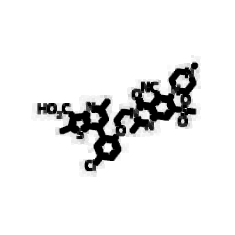 Cc1cc(-c2cc(Cl)ccc2OCCn2c(C)nc3cc(S(C)(=O)=O)c(N4CCN(C)CC4)c(C#N)c3c2=O)c2sc(C)c(C(=O)O)c2n1